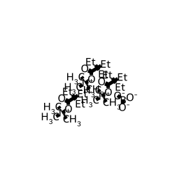 CCC(CC)(CC)C(=O)O[N+](C)(C)C.CCC(CC)(CC)C(=O)O[N+](C)(C)C.CCC(CC)(CC)C(=O)O[N+](C)(C)C.[O-]B([O-])[O-]